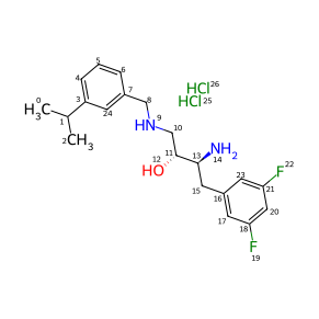 CC(C)c1cccc(CNC[C@@H](O)[C@@H](N)Cc2cc(F)cc(F)c2)c1.Cl.Cl